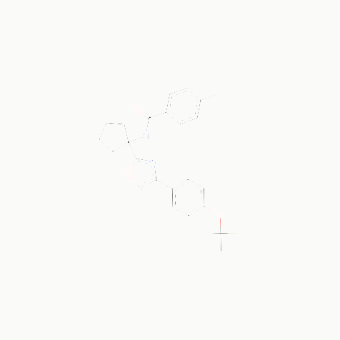 CC(F)(F)Oc1ccc(-c2noc(C3(NC(=O)c4ccc(F)cc4)CCCC3)n2)cc1